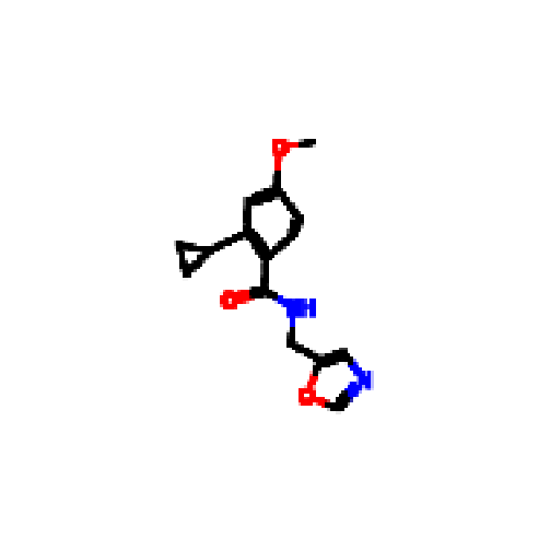 COc1ccc(C(=O)NCc2cnco2)c(C2CC2)c1